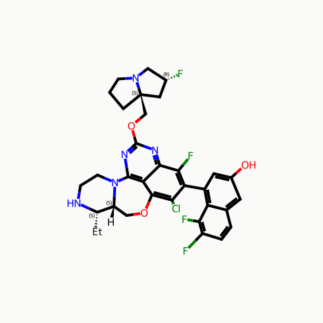 CC[C@@H]1NCCN2c3nc(OC[C@@]45CCCN4C[C@H](F)C5)nc4c(F)c(-c5cc(O)cc6ccc(F)c(F)c56)c(Cl)c(c34)OC[C@H]12